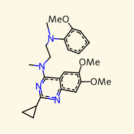 COc1cc2nc(C3CC3)nc(N(C)CCN(C)c3ccccc3OC)c2cc1OC